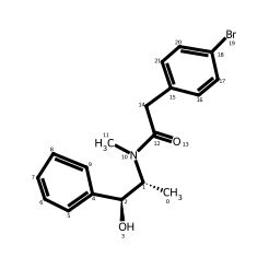 C[C@H]([C@@H](O)c1ccccc1)N(C)C(=O)Cc1ccc(Br)cc1